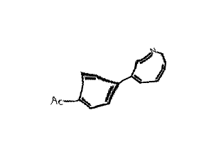 CC(=O)c1ccc(-c2cccnc2)cc1